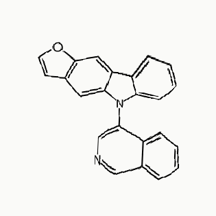 c1ccc2c(-n3c4ccccc4c4cc5occc5cc43)cncc2c1